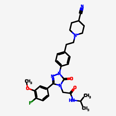 COc1cc(-c2nn(-c3ccc(CCN4CCC(C#N)CC4)cc3)c(=O)n2CC(=O)NC(C)C)ccc1F